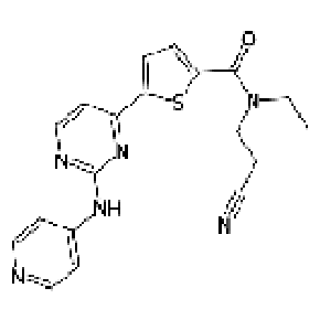 CCN(CCC#N)C(=O)c1ccc(-c2ccnc(Nc3ccncc3)n2)s1